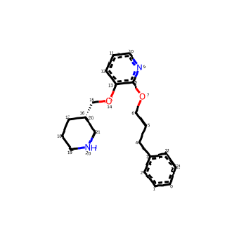 c1ccc(CCCOc2ncccc2OC[C@H]2CCCNC2)cc1